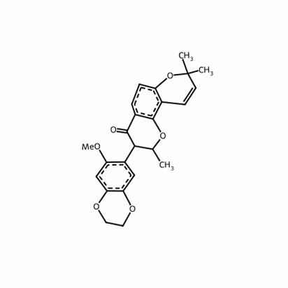 COc1cc2c(cc1C1C(=O)c3ccc4c(c3OC1C)C=CC(C)(C)O4)OCCO2